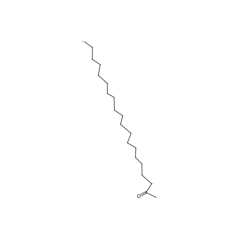 [CH]CCCCCCCCCCCCCCCC[CH]C(C)=O